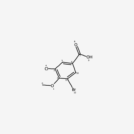 COc1c(Cl)cc(C(=O)O)cc1Br